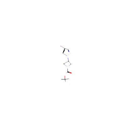 CC(C)(C)OC(=O)N1CC(n2cc(I)cn2)C1